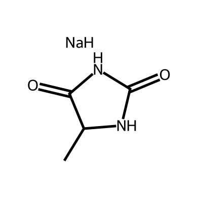 CC1NC(=O)NC1=O.[NaH]